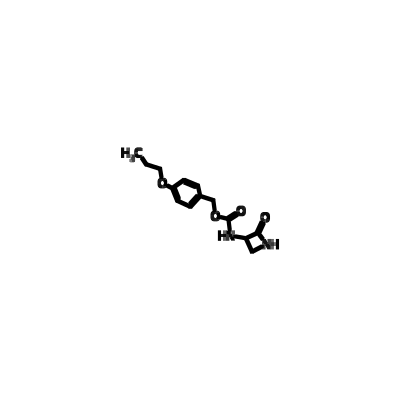 CCCOc1ccc(COC(=O)NC2CNC2=O)cc1